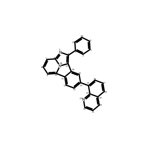 c1ccc(-c2nc3cccc4c5ccc(-c6cccc7cccnc67)cc5c2n34)cc1